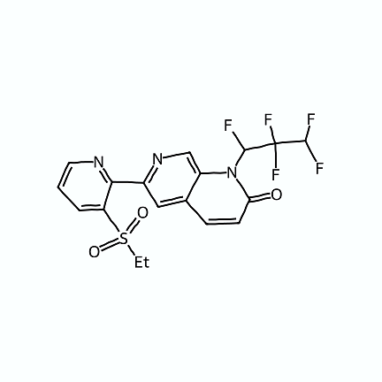 CCS(=O)(=O)c1cccnc1-c1cc2ccc(=O)n(C(F)C(F)(F)C(F)F)c2cn1